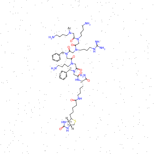 CC(=O)N(CCCCN)CC(=O)N(CCCCN)CC(=O)N(CCCCNC(=N)N)CC(=O)N(CC(=O)N(CCCCN)CC(=O)N(CC(=O)N[C@@H](CCCCNC(=O)CCCCC1SC[C@@H]2NC(=O)N[C@H]12)C(N)=O)[C@@H](C)c1ccccc1)[C@@H](C)c1ccccc1